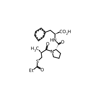 CCC(=O)SC[C@@H](C)C(=O)N1CCC[C@H]1C(=O)N[C@@H](Cc1ccccc1)C(=O)O